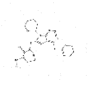 CNc1cccn(Cc2nc3c(Cc4ccccc4)ncnc3n2C2CCCCO2)c1=O